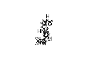 CC(=O)N[C@H]1CC[C@H](CC(=O)Nc2cc(-c3cnn4c3CC(C)(C)C4)c(Cl)cn2)C1